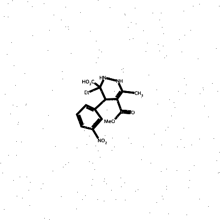 CCC1(C(=O)O)NNC(C)=C(C(=O)OC)C1c1cccc([N+](=O)[O-])c1